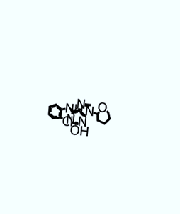 Oc1nc(Nc2ccccc2Cl)c2ncn(C3CCCCO3)c2n1